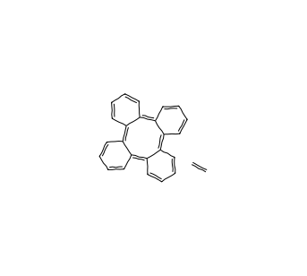 C=C.c1ccc2/c(c1)=c1/cccc/c1=c1\cccc\c1=c1/cccc/c1=2